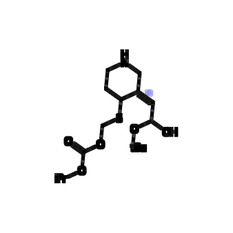 CC(C)OC(=O)OCSC1CCNC/C1=C/C(O)OC(C)(C)C